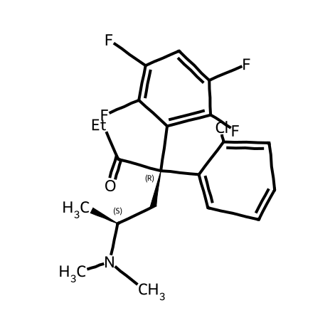 CCC(=O)[C@@](C[C@H](C)N(C)C)(c1ccccc1Cl)c1c(F)c(F)cc(F)c1F